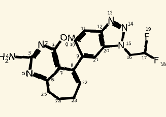 COc1nc(N)nc2c1C(c1ccc3nnn(CC(F)F)c3c1)=CCCC2